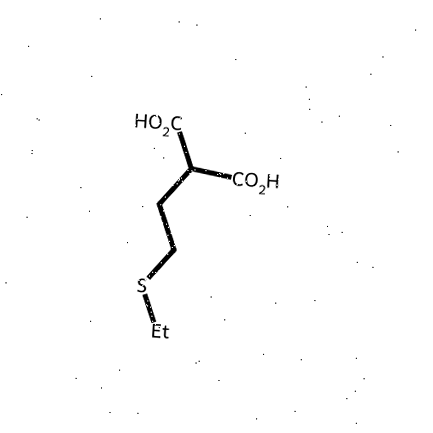 CCSCCC(C(=O)O)C(=O)O